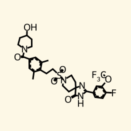 Cc1cc(C(=O)N2CCC(O)CC2)cc(C)c1CCS(=O)(=O)N1CCC2(CC1)N=C(c1ccc(F)c(OC(F)(F)F)c1)NC2=O